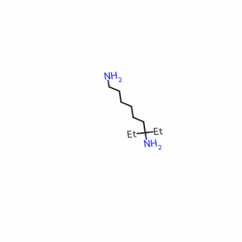 CCC(N)(CC)CCCCCCN